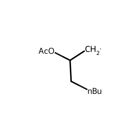 [CH2]C(CCCCC)OC(C)=O